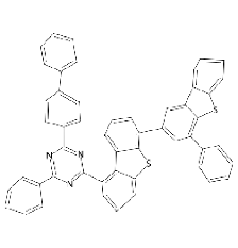 c1ccc(-c2ccc(-c3nc(-c4ccccc4)nc(-c4cccc5sc6c(-c7cc(-c8ccccc8)c8sc9ccccc9c8c7)cccc6c45)n3)cc2)cc1